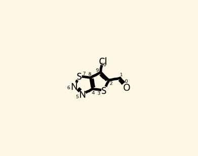 O=Cc1sc2nnsc2c1Cl